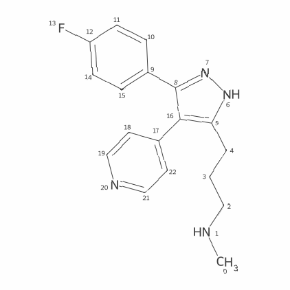 CNCCCc1[nH]nc(-c2ccc(F)cc2)c1-c1ccncc1